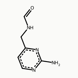 Nc1nccc(CNC=O)n1